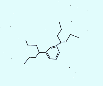 CCC[C](CCC)c1cccc([C](CCC)CCC)c1